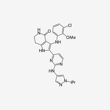 COc1c(Cl)cccc1Nc1c(-c2ccnc(Nc3cnn(C(C)C)c3)n2)[nH]c2c1C(=O)NCC2